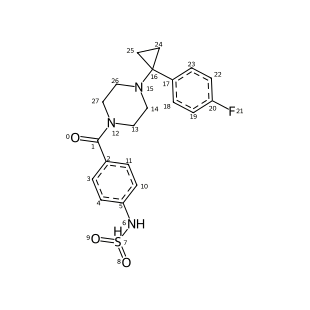 O=C(c1ccc(N[SH](=O)=O)cc1)N1CCN(C2(c3ccc(F)cc3)CC2)CC1